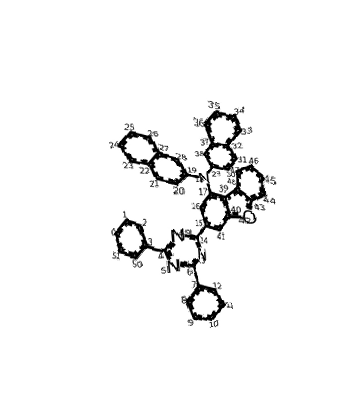 c1ccc(-c2nc(-c3ccccc3)nc(-c3cc(N(c4ccc5ccccc5c4)c4ccc5ccccc5c4)c4c(c3)oc3ccccc34)n2)cc1